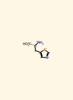 N[C@H](Cc1cncs1)C(=O)O